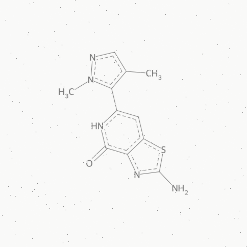 Cc1cnn(C)c1-c1cc2sc(N)nc2c(=O)[nH]1